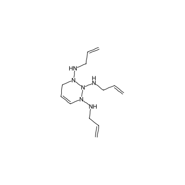 C=CCNN1C=CCN(NCC=C)N1NCC=C